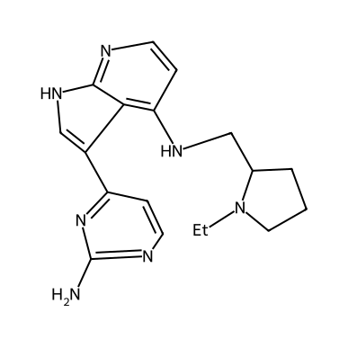 CCN1CCCC1CNc1ccnc2[nH]cc(-c3ccnc(N)n3)c12